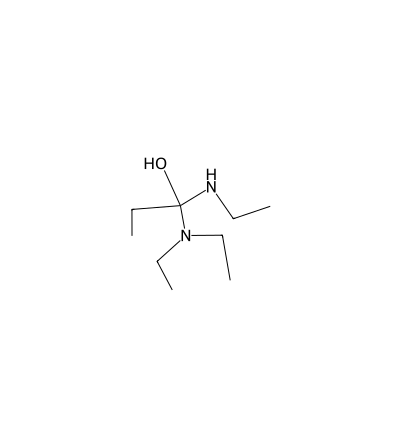 CCNC(O)(CC)N(CC)CC